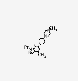 Cc1cc(N2CCC(N3CCN(C)CC3)CC2)nc2c1cnn2C(C)C